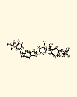 Cc1ccc(Nc2ncc3c(n2)CN([C@H]2CCN(C(=O)c4ccnc(NS(C)(=O)=O)c4)[C@H](C)C2)C3)cc1C(F)(F)F